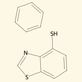 Sc1cccc2scnc12.c1ccccc1